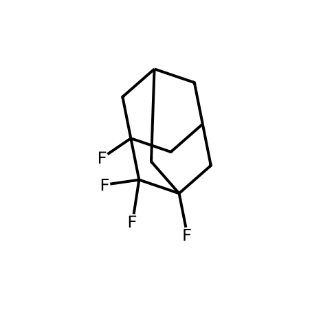 FC12CC3CC(C1)CC(F)(C3)C2(F)F